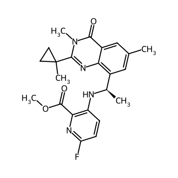 COC(=O)c1nc(F)ccc1N[C@H](C)c1cc(C)cc2c(=O)n(C)c(C3(C)CC3)nc12